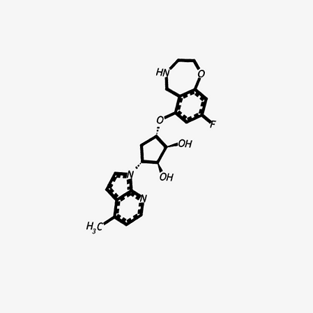 Cc1ccnc2c1ccn2[C@@H]1C[C@H](Oc2cc(F)cc3c2CNCCO3)[C@@H](O)[C@H]1O